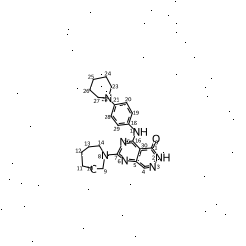 O=c1[nH]ncc2nc(N3CCCCCC3)nc(Nc3ccc(N4CCCCC4)cc3)c12